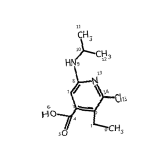 CCc1c(C(=O)O)cc(NC(C)C)nc1Cl